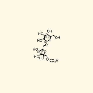 O=C(O)OC[C@@]1(O)O[C@H](CO[C@H]2O[C@H](CO)[C@@H](O)[C@H](O)[C@H]2O)[C@@H](O)[C@@H]1O